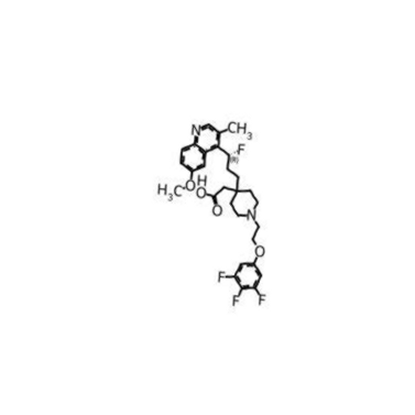 COc1ccc2ncc(C)c([C@H](F)CCC3(CC(=O)O)CCN(CCOc4cc(F)c(F)c(F)c4)CC3)c2c1